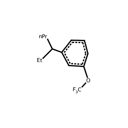 CCCC(CC)c1cccc(OC(F)(F)F)c1